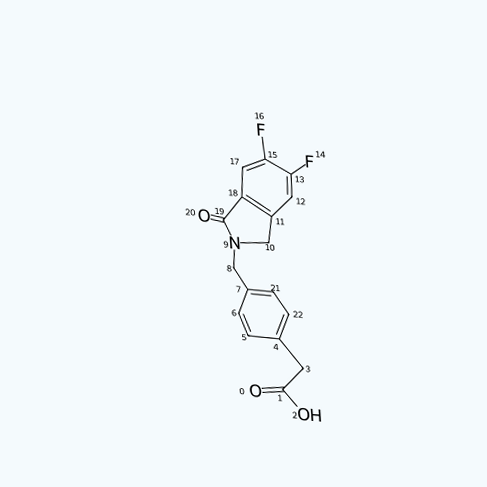 O=C(O)Cc1ccc(CN2Cc3cc(F)c(F)cc3C2=O)cc1